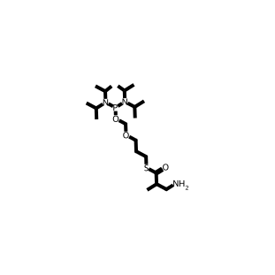 CC(CN)C(=O)SCCCOCOP(N(C(C)C)C(C)C)N(C(C)C)C(C)C